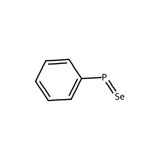 [Se]=Pc1ccccc1